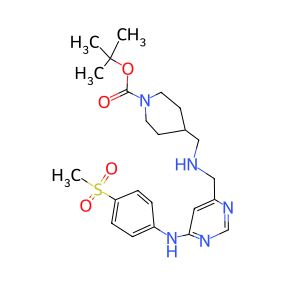 CC(C)(C)OC(=O)N1CCC(CNCc2cc(Nc3ccc(S(C)(=O)=O)cc3)ncn2)CC1